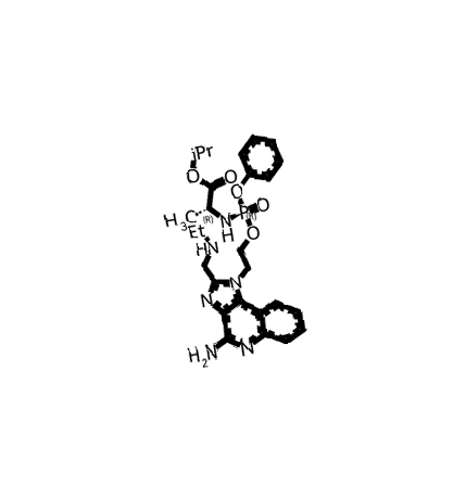 CCNCc1nc2c(N)nc3ccccc3c2n1CCO[P@](=O)(N[C@H](C)C(=O)OC(C)C)Oc1ccccc1